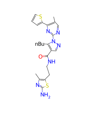 CCCCc1c(C(=O)NCCc2sc(N)nc2C)cnn1-c1ncc(C)c(-c2cccs2)n1